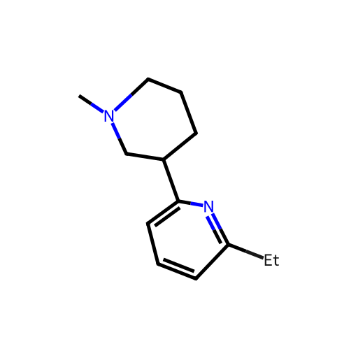 CCc1cccc(C2CCCN(C)C2)n1